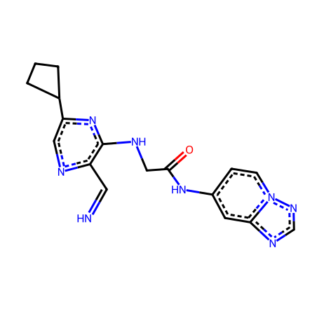 N=Cc1ncc(C2CCC2)nc1NCC(=O)Nc1ccn2ncnc2c1